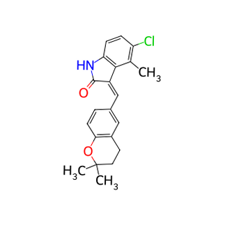 Cc1c(Cl)ccc2c1/C(=C/c1ccc3c(c1)CCC(C)(C)O3)C(=O)N2